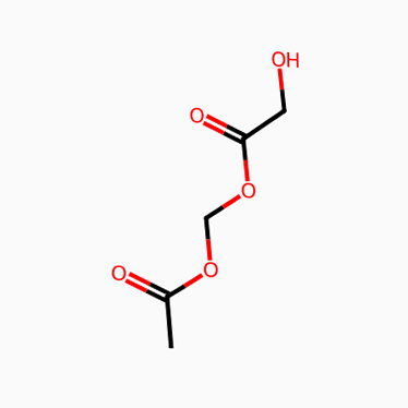 CC(=O)OCOC(=O)CO